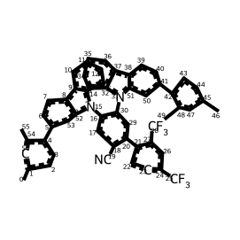 Cc1ccc(-c2ccc3c4ccccc4n(-c4cc(C#N)c(-c5ccc(C(F)(F)F)cc5C(F)(F)F)cc4-n4c5ccccc5c5ccc(-c6ccc(C)cc6C)cc54)c3c2)c(C)c1